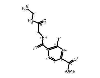 COC(=O)c1cnc(C(=O)NCC(=O)NCC(F)(F)F)c(C)n1